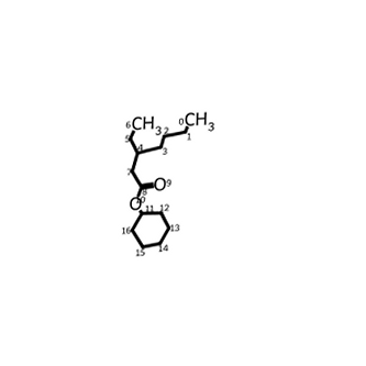 CCCCC(CC)CC(=O)OC1CCCCC1